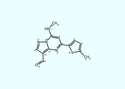 CNc1cc(-c2ccc(C)s2)nc2c(C=O)cnn12